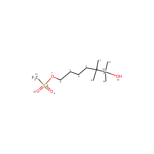 CC(C)(CCCCOS(=O)(=O)C(F)(F)F)[Si](C)(C)O